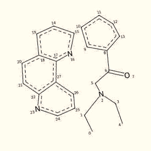 CCN(CC)CC(=O)c1ccccc1.c1cnc2c(c1)ccc1ncccc12